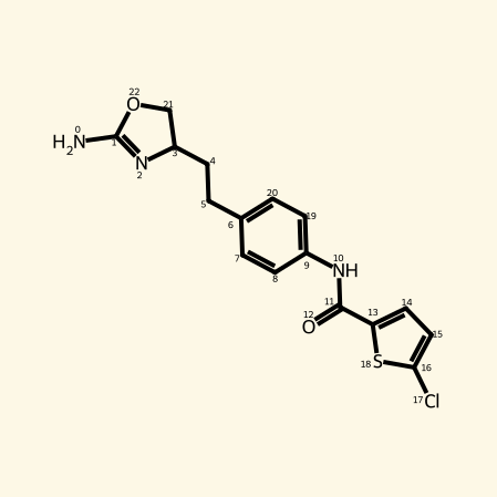 NC1=NC(CCc2ccc(NC(=O)c3ccc(Cl)s3)cc2)CO1